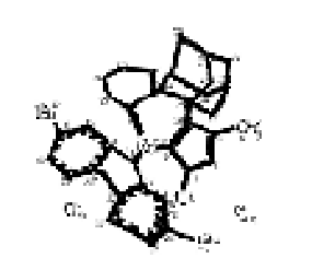 CC1=CC(C)[C]([Zr+2](=[C]2CCCCC2)[CH]2c3cc(C(C)(C)C)ccc3-c3ccc(C(C)(C)C)cc32)=C1C12CC3CC(CC(C3)C1)C2.[Cl-].[Cl-]